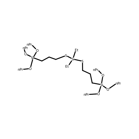 CCCO[Si](CCCS[Si](CC)(CC)SCCC[Si](OCCC)(OCCC)OCCC)(OCCC)OCCC